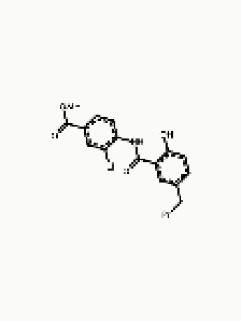 COC(=O)c1ccc(NC(=O)c2cc(CC(C)C)ccc2O)c(Cl)c1